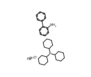 C1CCC(P(C2CCCCC2)C2CCCCC2)CC1.Nc1ccccc1-c1ccccc1.[Cl-].[Cl-].[Pd+2]